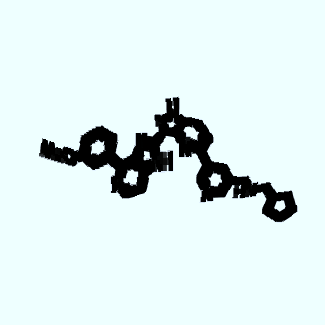 COc1cccc(-c2nccc3[nH]c(-c4n[nH]c5ccc(-c6cncc(CNCC7CCCC7)c6)nc45)nc23)c1